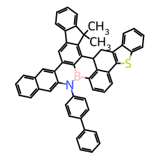 CC1(C)c2ccccc2-c2cc3c4c(c21)C1Cc2c(sc5ccccc25)-c2cccc(c21)B4N(c1ccc(-c2ccccc2)cc1)c1cc2ccccc2cc1-3